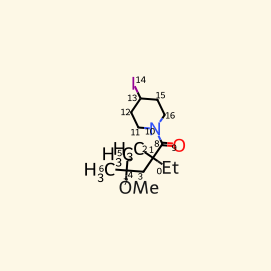 CCC(C)(CC(C)(C)OC)C(=O)N1CCC(I)CC1